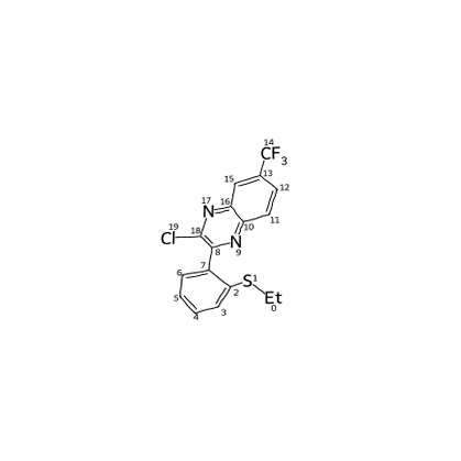 CCSc1ccccc1-c1nc2ccc(C(F)(F)F)cc2nc1Cl